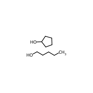 CCCCCO.OC1CCCC1